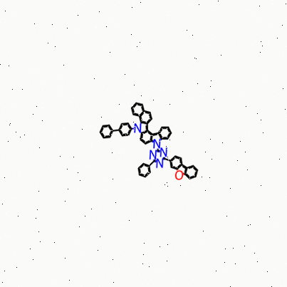 c1ccc(-c2ccc(-n3c4ccc5c(c6ccccc6n5-c5nc(-c6ccccc6)nc(-c6ccc7c(c6)oc6ccccc67)n5)c4c4ccc5ccccc5c43)cc2)cc1